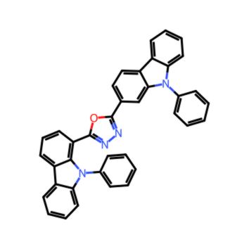 c1ccc(-n2c3ccccc3c3ccc(-c4nnc(-c5cccc6c7ccccc7n(-c7ccccc7)c56)o4)cc32)cc1